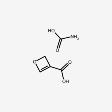 NC(=O)O.O=C(O)C1=COC1